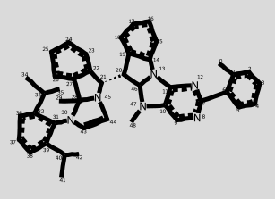 Cc1ccccc1-c1ncc2c(n1)N1c3ccccc3C([C@H]3c4ccccc4C4(C)N(c5c(C(C)C)cccc5C(C)C)C=CN34)C1N2C